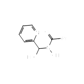 CC(C)C(=O)N(C)C(C)c1ccccn1